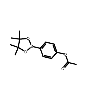 CC(=O)Oc1ccc(B2OC(C)(C)C(C)(C)O2)cc1